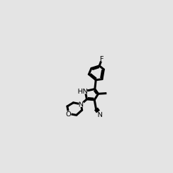 Cc1c(-c2ccc(F)cc2)[nH]c(N2CCOCC2)c1C#N